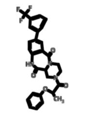 CC(Oc1ccccc1)C(=O)N1CCN2C(=O)c3cc(-c4cccc(C(F)(F)F)c4)ccc3NC(=O)C2C1